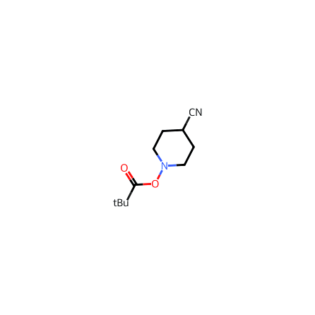 CC(C)(C)C(=O)ON1CCC(C#N)CC1